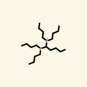 CCCCC(P(CCCC)CCCC)P(CCCC)CCCC